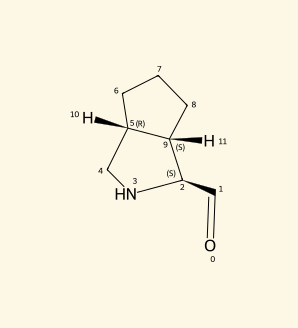 O=C[C@H]1NC[C@@H]2CCC[C@@H]21